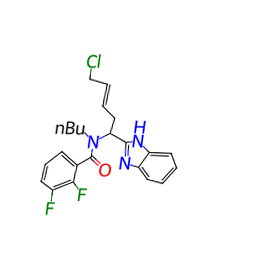 CCCCN(C(=O)c1cccc(F)c1F)C(CC=CCCl)c1nc2ccccc2[nH]1